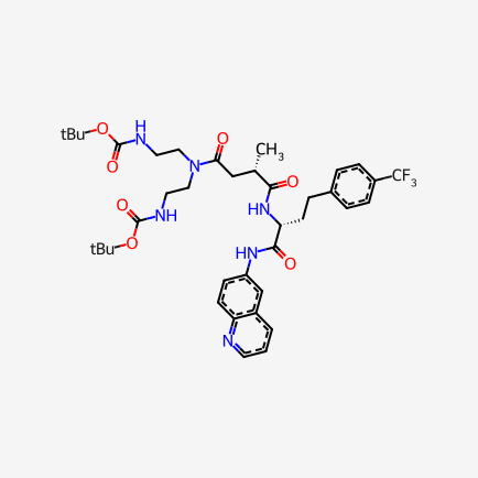 C[C@@H](CC(=O)N(CCNC(=O)OC(C)(C)C)CCNC(=O)OC(C)(C)C)C(=O)N[C@H](CCc1ccc(C(F)(F)F)cc1)C(=O)Nc1ccc2ncccc2c1